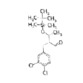 C[C@@H](O[Si](C)(C)C(C)(C)C)[C@H](C=O)Cc1ccc(Cl)c(Cl)c1